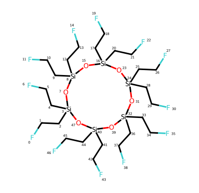 FCC[Si]1(CCF)O[Si](CCF)(CCF)O[Si](CCF)(CCF)O[Si](CCF)(CCF)O[Si](CCF)(CCF)O[Si](CCF)(CCF)O1